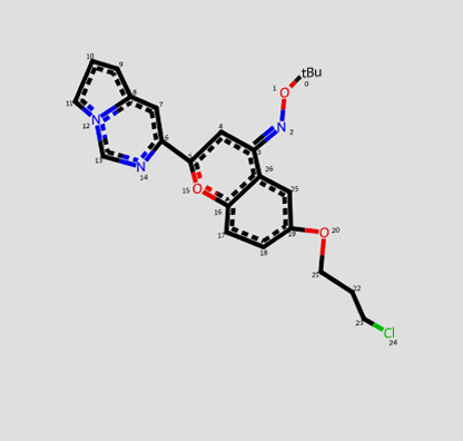 CC(C)(C)ON=c1cc(-c2cc3cccn3cn2)oc2ccc(OCCCCl)cc12